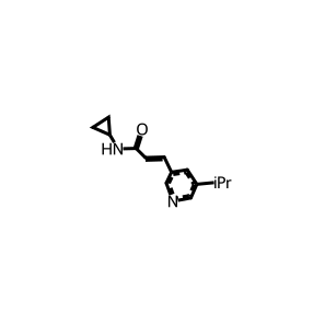 CC(C)c1cncc(/C=C/C(=O)NC2CC2)c1